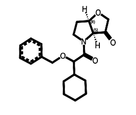 O=C1CO[C@@H]2CCN(C(=O)C(OCc3ccccc3)C3CCCCC3)[C@H]12